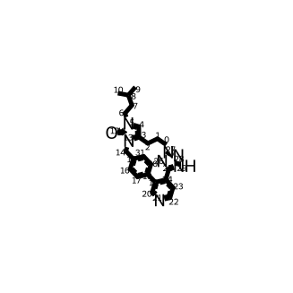 CCCc1cn(CCC(C)C)c(=O)n1Cc1ccc(-c2cnccc2-c2nnn[nH]2)cc1